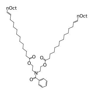 CCCCCCCCC=CCCCCCCCCCCCC(=O)OCCN(CCOC(=O)CCCCCCCCCCCC=CCCCCCCCC)C(=O)c1ccccc1